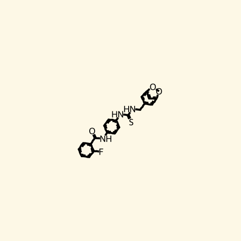 O=C(Nc1ccc(NC(=S)NCc2cc3cc(c2)OO3)cc1)c1ccccc1F